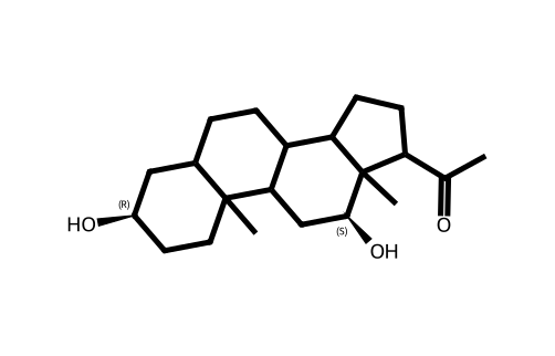 CC(=O)C1CCC2C3CCC4C[C@H](O)CCC4(C)C3C[C@H](O)C12C